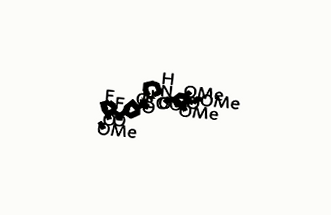 COCOc1ccc(F)c(F)c1C(=O)c1ccc(C(=O)O[N+]2(C(=O)[O-])CCCCC(NC(=O)c3cc(OC)c(OCOC)c(OC)c3)C2)cc1